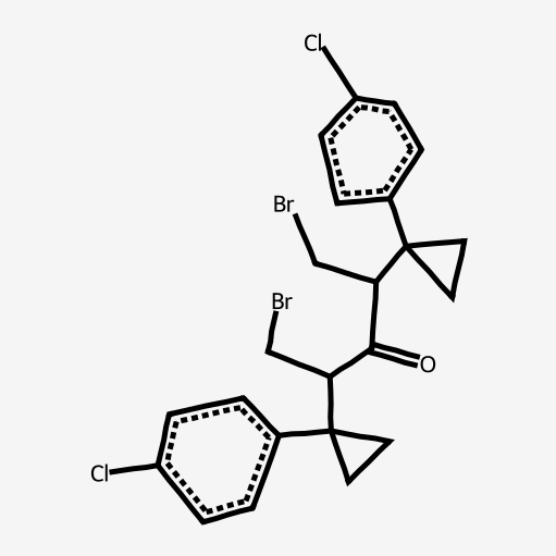 O=C(C(CBr)C1(c2ccc(Cl)cc2)CC1)C(CBr)C1(c2ccc(Cl)cc2)CC1